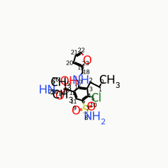 CCCc1c(Cl)c(S(N)(=O)=O)cc(C(=O)O)c1NCc1ccco1.CNC